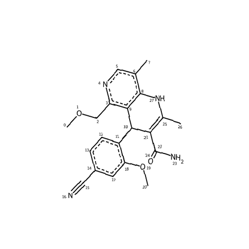 COCc1ncc(C)c2c1C(c1ccc(C#N)cc1OC)C(C(N)=O)=C(C)N2